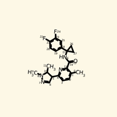 Cc1ccc(C2C=NN(C)C2C)nc1C(=O)NC1(c2ccc(F)c(F)c2)CC1